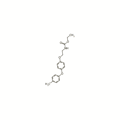 CCOC(=O)NCCOc1ccc(Oc2ccc(C)cc2)cc1